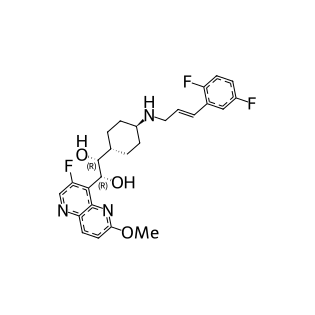 COc1ccc2ncc(F)c([C@@H](O)[C@H](O)[C@H]3CC[C@H](NCC=Cc4cc(F)ccc4F)CC3)c2n1